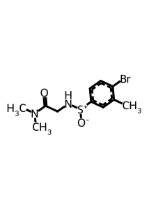 Cc1cc([S+]([O-])NCC(=O)N(C)C)ccc1Br